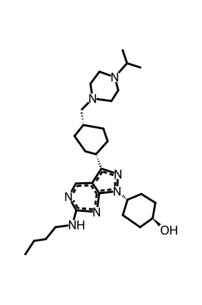 CCCCNc1ncc2c(n1)n([C@H]1CC[C@H](O)CC1)nc2[C@H]1CC[C@@H](CN2CCN(C(C)C)CC2)CC1